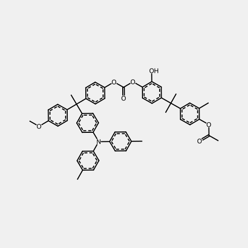 COc1ccc(C(C)(c2ccc(OC(=O)Oc3ccc(C(C)(C)c4ccc(OC(C)=O)c(C)c4)cc3O)cc2)c2ccc(N(c3ccc(C)cc3)c3ccc(C)cc3)cc2)cc1